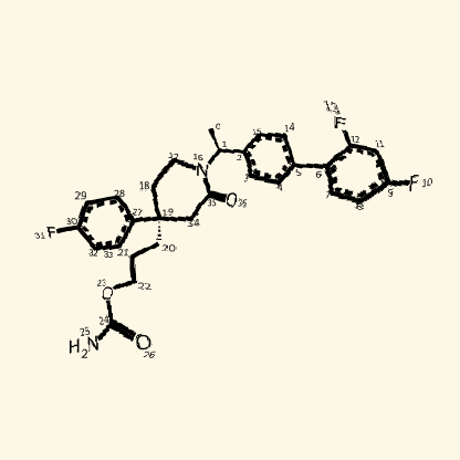 C[C@@H](c1ccc(-c2ccc(F)cc2F)cc1)N1CC[C@](CCCOC(N)=O)(c2ccc(F)cc2)CC1=O